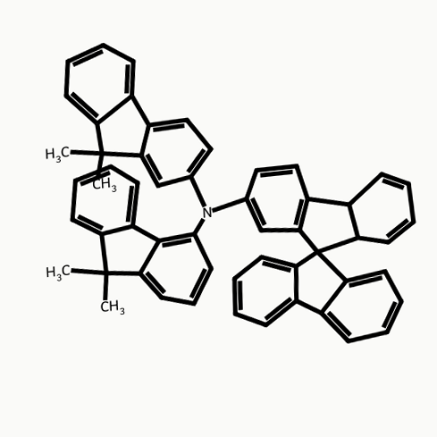 CC1(C)c2ccccc2-c2ccc(N(c3ccc4c(c3)C3(c5ccccc5-c5ccccc53)C3C=CC=CC43)c3cccc4c3-c3ccccc3C4(C)C)cc21